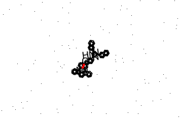 c1ccc(-n2c3ccccc3c3ccc4c5ccccc5n(-c5ccc6oc7cc(C8=NC(c9ccc%10ccccc%10c9)=NC(c9ccc%10ccccc%10c9)N8)ccc7c6c5)c4c32)cc1